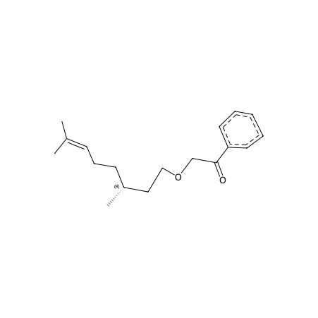 CC(C)=CCC[C@@H](C)CCOCC(=O)c1ccccc1